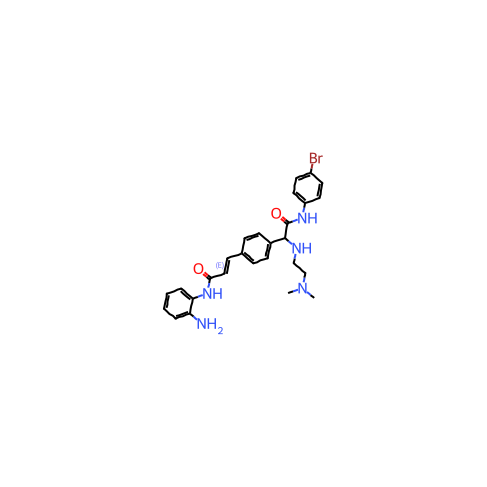 CN(C)CCNC(C(=O)Nc1ccc(Br)cc1)c1ccc(/C=C/C(=O)Nc2ccccc2N)cc1